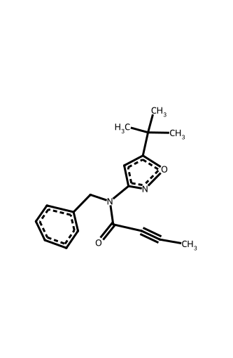 CC#CC(=O)N(Cc1ccccc1)c1cc(C(C)(C)C)on1